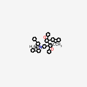 CC1(C)c2ccccc2-c2ccc(-c3c(-c4ccc5oc6ccccc6c5c4-c4ccc(N(c5ccc(-c6ccccc6)cc5)c5cccc6c5[Si](C)(C)c5ccccc5-6)cc4)ccc4oc5ccccc5c34)cc21